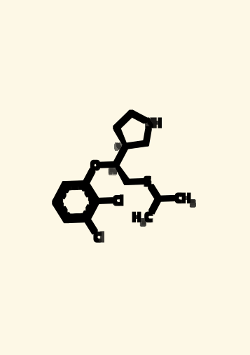 CC(C)SC[C@@H](Oc1cccc(Cl)c1Cl)[C@H]1CCNC1